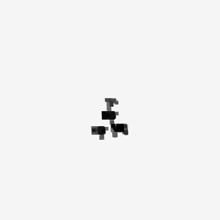 [NH4+].[OH-].[OH-].[Ti+]